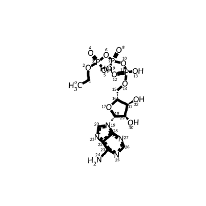 CCOP(=O)(O)OP(=O)(O)OP(=O)(O)OC[C@H]1O[C@@H](n2cnc3c(N)ncnc32)[C@H](O)[C@@H]1O